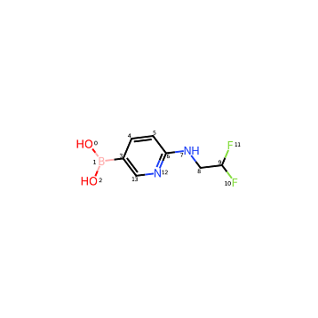 OB(O)c1ccc(NCC(F)F)nc1